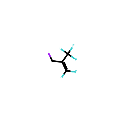 FC(F)=C(CI)C(F)(F)F